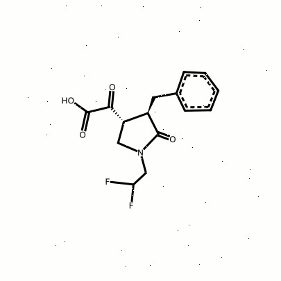 O=C(O)C(=O)[C@H]1CN(CC(F)F)C(=O)[C@@H]1Cc1ccccc1